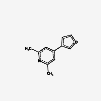 Cc1cc(-c2ccoc2)cc(C)n1